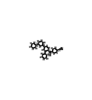 N#Cc1ccc(Nc2ccc(-c3cccc(-c4ccccc4)c3)cc2-c2ccccc2)cc1